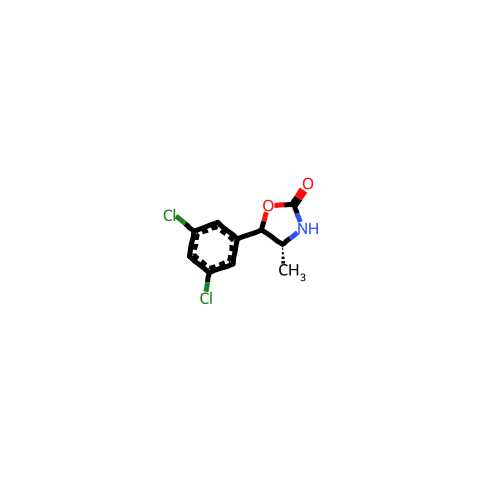 C[C@H]1NC(=O)OC1c1cc(Cl)cc(Cl)c1